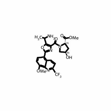 COC(=O)[C@@H]1C[C@@H](O)CN1C(=O)c1nc(-c2ccc(OC)c3nc(C(F)(F)F)ccc23)oc1C(C)N